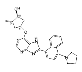 C[C@@H]1C[C@@H](Oc2ncnc3nc(-c4ccc(N5CCCC5)c5ccccc45)[nH]c23)C[C@@H]1O